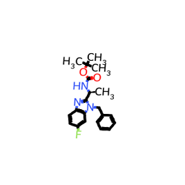 C[C@H](NC(=O)OC(C)(C)C)c1nc2ccc(F)cc2n1Cc1ccccc1